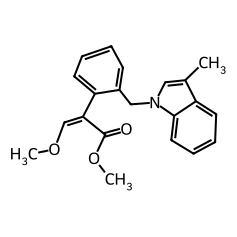 COC=C(C(=O)OC)c1ccccc1Cn1cc(C)c2ccccc21